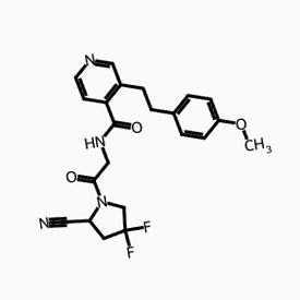 COc1ccc(CCc2cnccc2C(=O)NCC(=O)N2CC(F)(F)CC2C#N)cc1